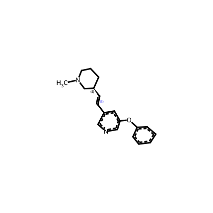 CN1CCC[C@@H](/C=C/c2cncc(Oc3ccccc3)c2)C1